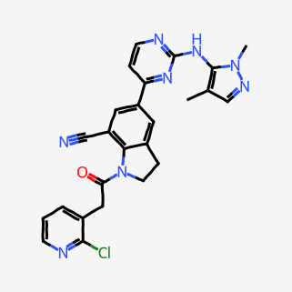 Cc1cnn(C)c1Nc1nccc(-c2cc(C#N)c3c(c2)CCN3C(=O)Cc2cccnc2Cl)n1